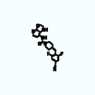 N#Cc1cc(F)c(C=C2CCN(C(=O)Nc3ccnc4c3NCCO4)CC2)c(F)c1